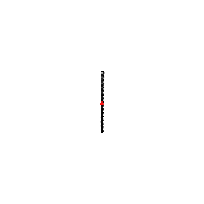 CCCCCCCCCCCCCCCCCCOCCCCCCCCCCCCCCCC